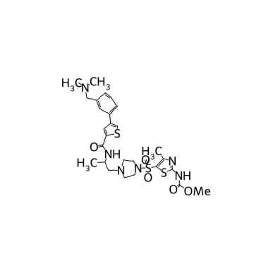 COC(=O)Nc1nc(C)c(S(=O)(=O)N2CCN(CC(C)NC(=O)c3cc(-c4cccc(CN(C)C)c4)cs3)CC2)s1